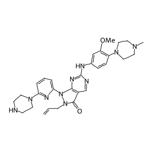 C=CCn1c(=O)c2cnc(Nc3ccc(N4CCN(C)CC4)c(OC)c3)nc2n1-c1cccc(N2CCNCC2)n1